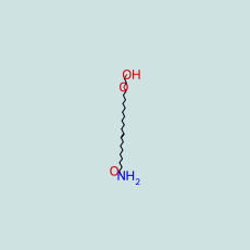 NC(=O)CCCCCCCC=CCCCCCCCCCCOCCO